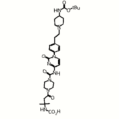 CC(C)(CC(=O)N1CCN(C(=O)Nc2ccn(-c3ccc(CCN4CCC(NC(=O)OC(C)(C)C)CC4)cc3)c(=O)n2)CC1)NC(=O)O